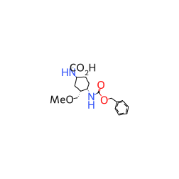 COC[C@@H]1CC(NC(=O)O)CC[C@@H]1NC(=O)OCc1ccccc1